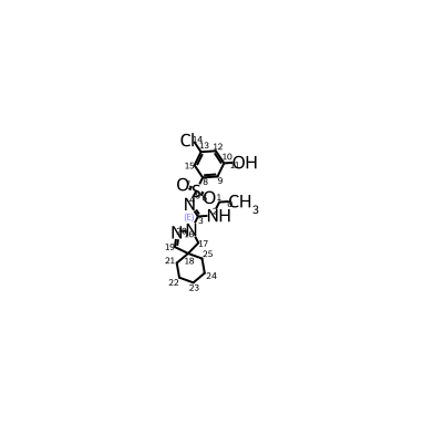 CCN/C(=N\S(=O)(=O)c1cc(O)cc(Cl)c1)N1CC2(C=N1)CCCCC2